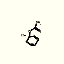 CC[C@]1(NC(N)=S)C=CC=CC1